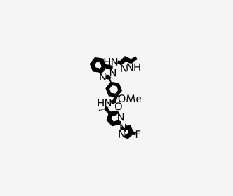 CO[C@]1(C(=O)N[C@@H](C)c2ccc(-n3cc(F)cn3)nc2)CC[C@H](c2nc(Nc3cc(C)[nH]n3)c3ccccc3n2)CC1